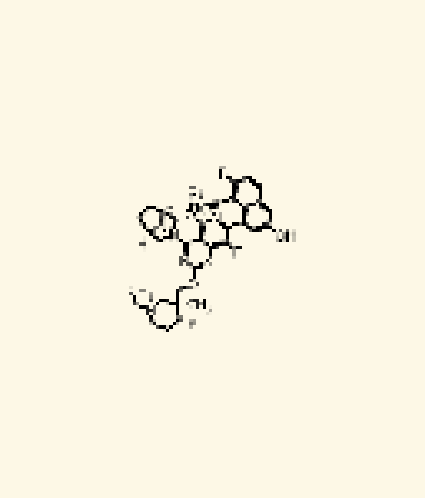 C#Cc1c(F)ccc2cc(O)cc(-c3nc(OC)c4c(N5C[C@H]6CC[C@@H](C5)N6)nc(OC[C@]5(C)CN(CC)CC[C@H]5F)nc4c3F)c12